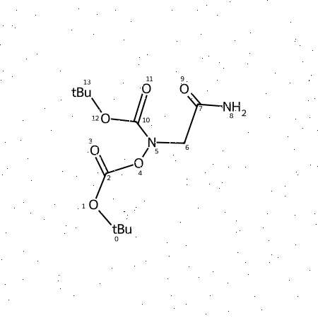 CC(C)(C)OC(=O)ON(CC(N)=O)C(=O)OC(C)(C)C